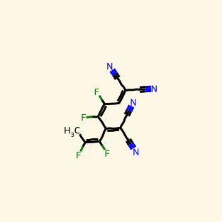 C/C(F)=C(/F)C(=C(C#N)C#N)/C(F)=C(/F)C=C(C#N)C#N